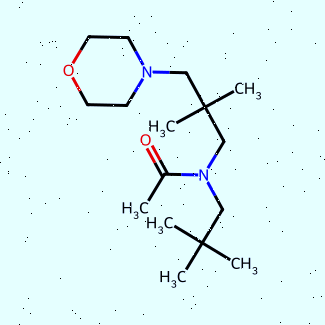 CC(=O)N(CC(C)(C)C)CC(C)(C)CN1CCOCC1